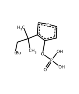 CC(C)(C)CC(C)(C)c1ccccc1OP(=O)(O)O